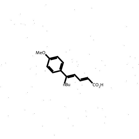 CCCCC(=CC=CC(=O)O)c1ccc(OC)cc1